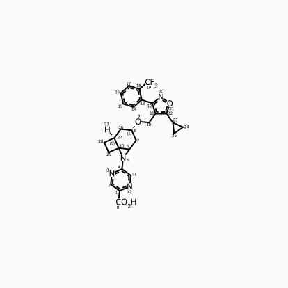 O=C(O)c1cnc(N2C3C[C@@H](OCc4c(-c5ccccc5C(F)(F)F)noc4C4CC4)C[C@@H]4CCC342)cn1